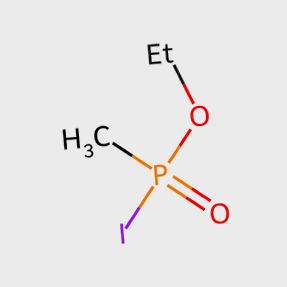 CCOP(C)(=O)I